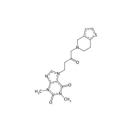 Cn1c(=O)c2c(ncn2CCC(=O)CN2CCc3sccc3C2)n(C)c1=O